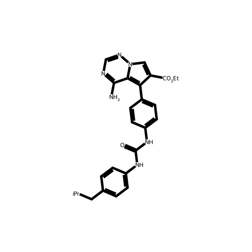 CCOC(=O)c1cn2ncnc(N)c2c1-c1ccc(NC(=O)Nc2ccc(CC(C)C)cc2)cc1